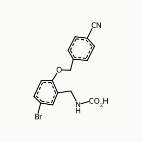 N#Cc1ccc(COc2ccc(Br)cc2CNC(=O)O)cc1